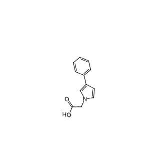 O=C(O)Cn1ccc(-c2ccccc2)c1